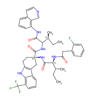 CCC(C)[C@H](NC(=O)Cc1ccccc1F)C(=O)N[C@]1(C(=O)NC(C(=O)Nc2cccc3ccncc23)[C@@H](C)CC)CCc2[nH]c3c(C(F)(F)F)cccc3c2C1